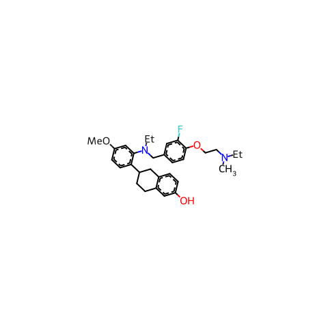 CCN(C)CCOc1ccc(CN(CC)c2cc(OC)ccc2C2CCc3cc(O)ccc3C2)cc1F